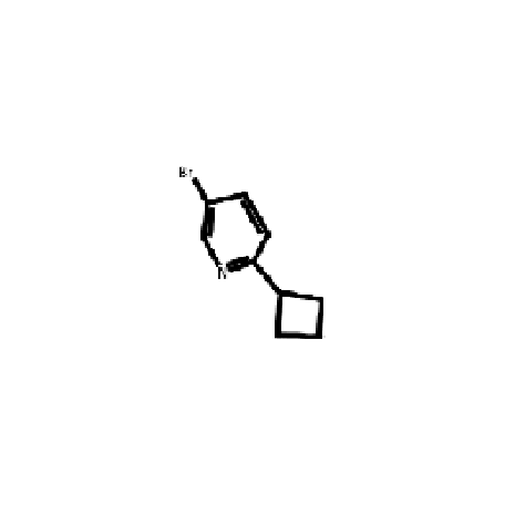 Brc1ccc(C2C[CH]C2)nc1